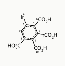 O=C(O)c1c[c]([Ir])c(C(=O)O)c(C(=O)O)c1C(=O)O